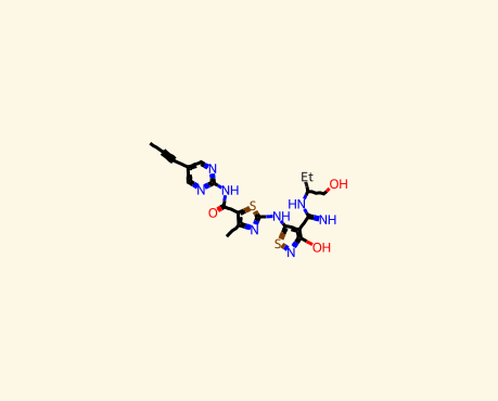 CC#Cc1cnc(NC(=O)c2sc(Nc3snc(O)c3C(=N)NC(CC)CO)nc2C)nc1